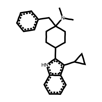 CN(C)C1(Cc2ccccc2)CCC(c2[nH]c3ccccc3c2C2CC2)CC1